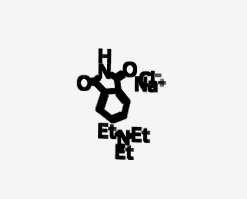 CCN(CC)CC.O=C1NC(=O)c2ccccc21.[Cl-].[Na+]